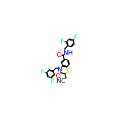 N#CCC1Sc2ccc(C(=O)NCc3ccc(F)cc3F)cc2N(Cc2cc(F)cc(F)c2)C1=O